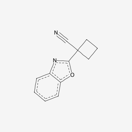 N#CC1(c2nc3ccccc3o2)CCC1